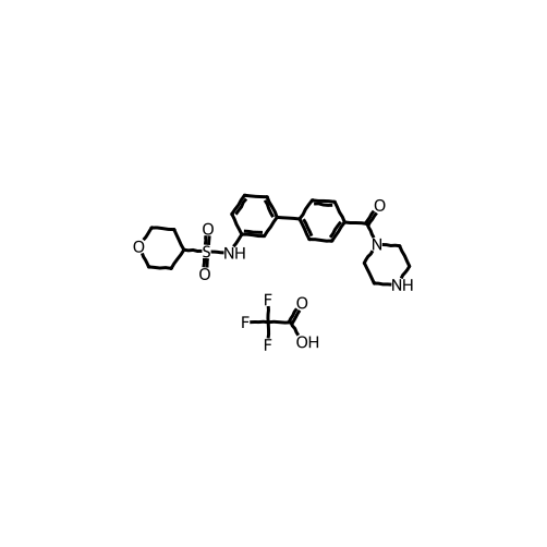 O=C(O)C(F)(F)F.O=C(c1ccc(-c2cccc(NS(=O)(=O)C3CCOCC3)c2)cc1)N1CCNCC1